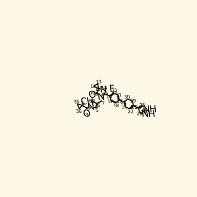 CC1(C(=O)N2CC(CN3C(=O)C4(CC4)N=C3c3ccc(C4=CC=C(C5=CNNC5)CC4)cc3F)C2)CC1